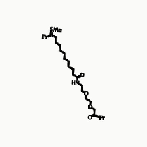 CSN(CCCCCCCCCCC(=O)NCCOCCOCC(=O)C(C)C)C(C)C